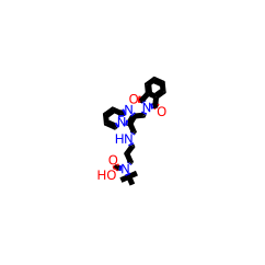 CC(C)(C)N(CCCNCc1c(CN2C(=O)c3ccccc3C2=O)nc2ccccn12)C(=O)O